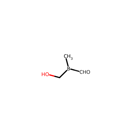 CB(C=O)CO